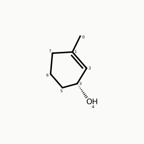 CC1=C[C@H](O)CCC1